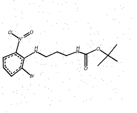 CC(C)(C)OC(=O)NCCCNc1c(Br)cccc1[N+](=O)[O-]